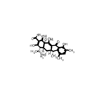 Cc1cc(C)c2c(c1O)C(=O)C1=C(O)[C@]3(O)C(=O)C(C(N)=O)=C(O)[C@@H](N(C)C)[C@@H]3[C@@H](O)[C@@H]1[C@H]2C